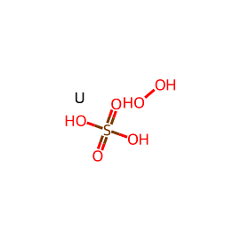 O=S(=O)(O)O.OO.[U]